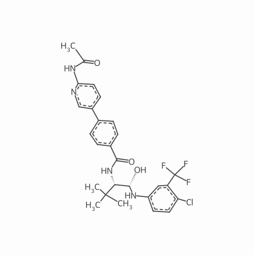 CC(=O)Nc1ccc(-c2ccc(C(=O)N[C@H]([C@H](O)Nc3ccc(Cl)c(C(F)(F)F)c3)C(C)(C)C)cc2)cn1